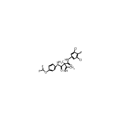 CC(=N)C(C)(C(=O)Nc1ccc(OC(F)F)cc1)C(=O)Nc1cc(Cl)c(F)c(Cl)c1